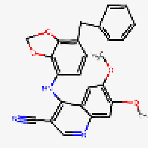 COc1cc2ncc(C#N)c(Nc3ccc(Cc4ccccc4)c4c3OCO4)c2cc1OC